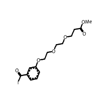 COC(=O)CCOCCOCCOc1cccc(C(=O)I)c1